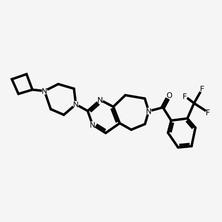 O=C(c1ccccc1C(F)(F)F)N1CCc2cnc(N3CCN(C4CCC4)CC3)nc2CC1